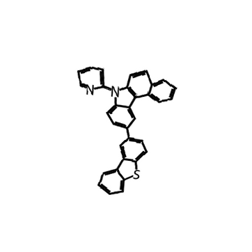 c1ccc(-n2c3ccc(-c4ccc5sc6ccccc6c5c4)cc3c3c4ccccc4ccc32)nc1